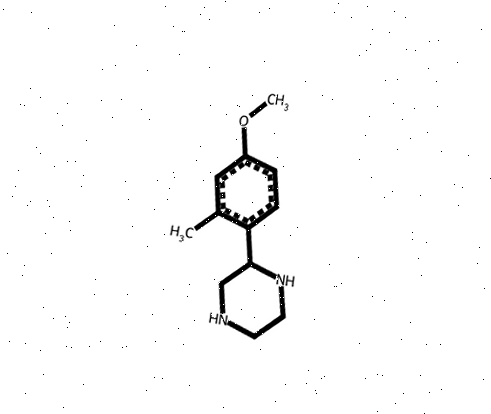 COc1ccc(C2CNCCN2)c(C)c1